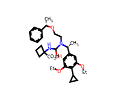 CCOc1cc([C@@H](C)N(CCO[C@@H](C)c2ccccc2)C(O)NC2(C(=O)O)CCC2)cc(OCC)c1C1CC1